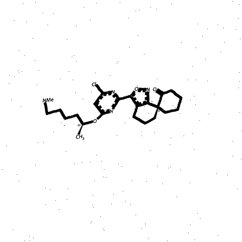 CNCCCC[C@H](C)Oc1cc(Cl)nc(-c2onc3c2CCC[C@@]32CCCCC2=O)n1